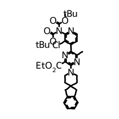 CCOC(=O)c1nc(-c2ccnc(N(C(=O)OC(C)(C)C)C(=O)OC(C)(C)C)c2Cl)c(C)nc1N1CCC2(CC1)Cc1ccccc1C2